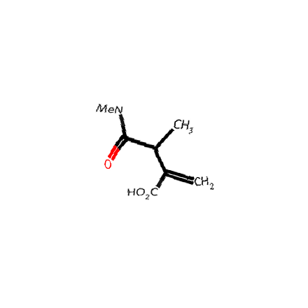 C=C(C(=O)O)C(C)C(=O)NC